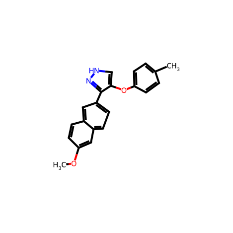 COc1ccc2cc(-c3n[nH]cc3Oc3ccc(C)cc3)ccc2c1